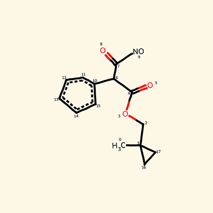 CC1(COC(=O)C(C(=O)N=O)c2ccccc2)CC1